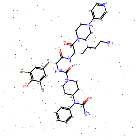 NCCCC[C@H](NC(=O)[C@@H](Cc1cc(Br)c(O)c(Br)c1)NC(=O)N1CCC(N(C(N)=O)c2ccccc2)CC1)C(=O)N1CCN(c2ccncc2)CC1